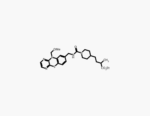 CCOC(=O)C(C)CCC1CCN(C(=O)NCc2ccc3c(c2)N(COC)c2nccnc2S3)CC1